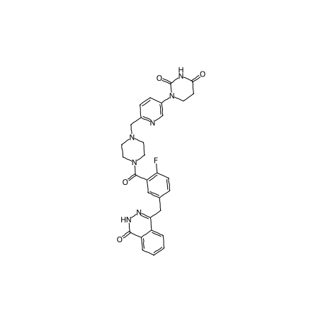 O=C1CCN(c2ccc(CN3CCN(C(=O)c4cc(Cc5n[nH]c(=O)c6ccccc56)ccc4F)CC3)nc2)C(=O)N1